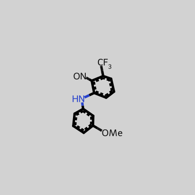 COc1cccc(Nc2cccc(C(F)(F)F)c2N=O)c1